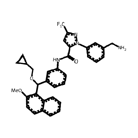 COc1ccc2ccccc2c1C(OCC1CC1)c1cccc(NC(=O)c2cc(C(F)(F)F)nn2-c2cccc(CN)c2)c1